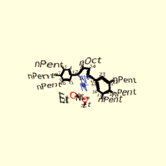 CCCCCCCCC1=C(c2cc(CCCCC)c(CCCCC)c(CCCCC)c2)[N+](=[N-])C(c2cc(CCCCC)c(CCCCC)c(CCCCC)c2)=C1.CC[O][Ni][O]CC